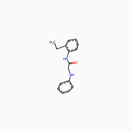 CCc1ccccc1NC(=O)CNc1ccccc1